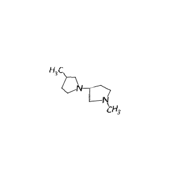 CC1CCN(C2CCN(C)C2)C1